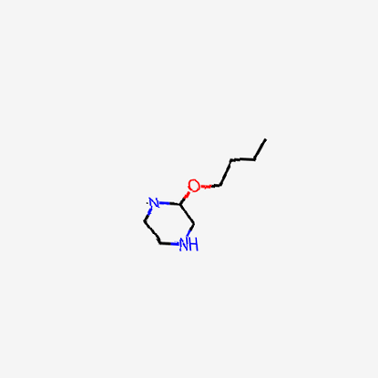 CCCCOC1CNCC[N]1